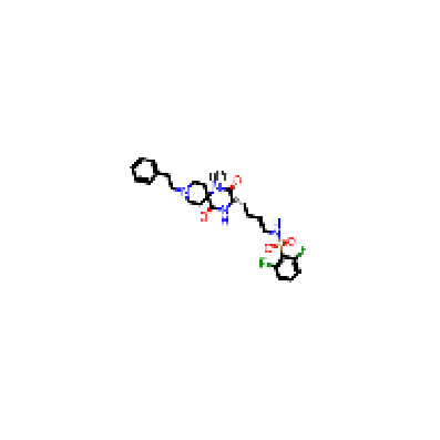 CCCN1C(=O)[C@H](CCCCNS(=O)(=O)c2c(F)cccc2F)NC(=O)C12CCN(CCc1ccccc1)CC2